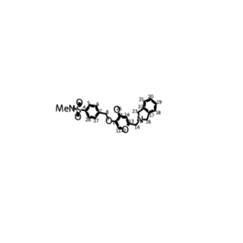 CNS(=O)(=O)c1ccc(COc2coc(CN3Cc4ccccc4C3)cc2=O)cc1